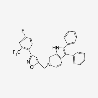 Fc1ccc(-c2cc(CN3C=Cc4c([nH]c(-c5ccccc5)c4-c4ccccc4)C3)on2)c(C(F)(F)F)c1